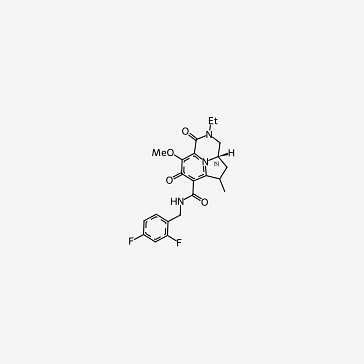 CCN1C[C@@H]2CC(C)c3c(C(=O)NCc4ccc(F)cc4F)c(=O)c(OC)c(n32)C1=O